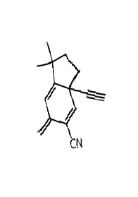 C#CC12C=C(C#N)C(=C)C=C1C(C)(C)CC2